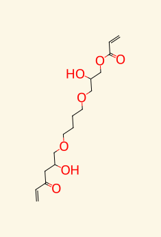 C=CC(=O)CC(O)COCCCCOCC(O)COC(=O)C=C